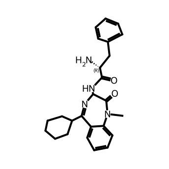 CN1C(=O)C(NC(=O)[C@H](N)Cc2ccccc2)N=C(C2CCCCC2)c2ccccc21